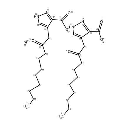 CCCCCCCCC(=O)Cc1c[nH]nc1C(=O)[O-].CCCCCCCCC(=O)Cc1c[nH]nc1C(=O)[O-].[Ni+2]